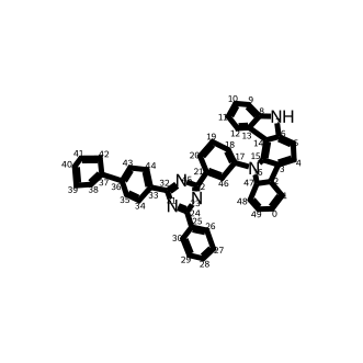 C1=CC2c3ccc4[nH]c5ccccc5c4c3N(c3cccc(-c4nc(-c5ccccc5)nc(-c5ccc(-c6ccccc6)cc5)n4)c3)C2C=C1